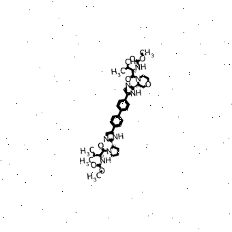 COC(=O)N[C@H](C(=O)N1CCC[C@H]1c1ncc(-c2ccc(-c3ccc(-c4cnc([C@@H]5COCCN5C(=O)[C@@H](NC(=O)OC)C(C)C)[nH]4)cc3)cc2)[nH]1)C(C)C